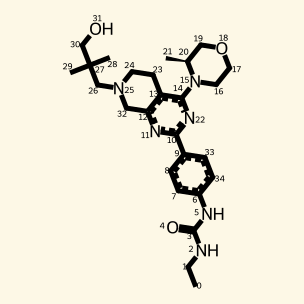 CCNC(=O)Nc1ccc(-c2nc3c(c(N4CCOC[C@@H]4C)n2)CCN(CC(C)(C)CO)C3)cc1